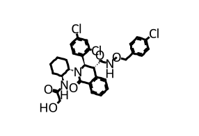 O=C(CO)N[C@H]1CCCC[C@@H]1N1C(=O)c2ccccc2[C@@H](C(=O)NOCc2ccc(Cl)cc2)[C@@H]1c1ccc(Cl)cc1Cl